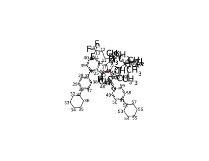 CC1=C(C(C)(C)C)[CH]([Zr]([CH3])(=[SiH2])([CH2]CC(F)(F)F)[CH]2C(C(C)(C)C)=C(C)c3c(-c4ccc(C5CCCCC5)cc4)cccc32)c2cccc(-c3ccc(C4CCCCC4)cc3)c21.Cl.Cl